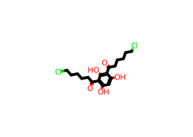 O=C(CCCCCCl)c1c(O)cc(O)c(C(=O)CCCCCCl)c1O